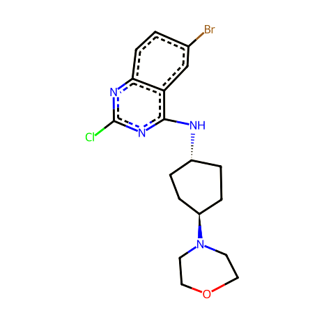 Clc1nc(N[C@H]2CC[C@H](N3CCOCC3)CC2)c2cc(Br)ccc2n1